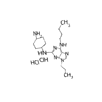 CCCCNc1nc(NC2CCC(N)CC2)nc2c1ncn2CCC.Cl.Cl